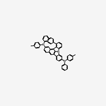 Cc1ccc(N(c2ccccc2)c2ccc3cc4c5ccc(N(c6ccccc6)c6ccc(C)cc6)cc5n5c6cccc(-c7ccccc7)c6c(c3c2)c45)cc1